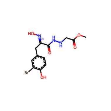 COC(=O)CNNC(=O)/C(Cc1ccc(O)c(Br)c1)=N/O